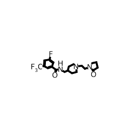 O=C(NCC1CCN(CCN2CCCC2=O)CC1)c1cc(F)cc(C(F)(F)F)c1